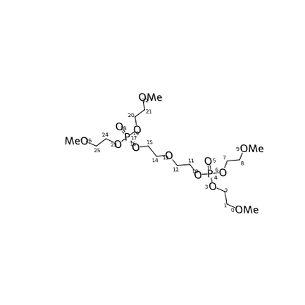 COCCOP(=O)(OCCOC)OCCOCCOP(=O)(OCCOC)OCCOC